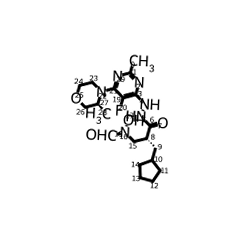 Cc1nc(NNC(=O)[C@H](CC2CCCC2)CN(O)C=O)c(F)c(N2CCOC[C@@H]2C)n1